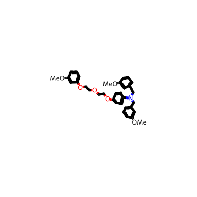 COc1cccc(CN(Cc2cccc(OC)c2)c2ccc(OCCOCCOc3cccc(OC)c3)cc2)c1